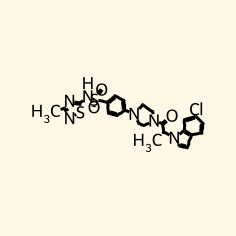 Cc1nsc(NS(=O)(=O)c2ccc(N3CCN(C(=O)[C@H](C)n4ccc5ccc(Cl)cc54)CC3)cc2)n1